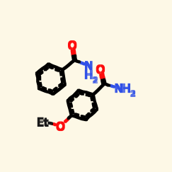 CCOc1ccc(C(N)=O)cc1.NC(=O)c1ccccc1